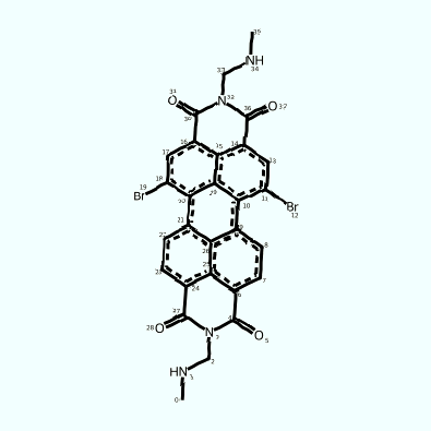 CNCN1C(=O)c2ccc3c4c(Br)cc5c6c(cc(Br)c(c7ccc(c2c37)C1=O)c64)C(=O)N(CNC)C5=O